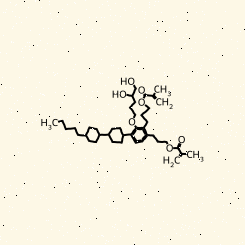 C=C(C)C(=O)OCCCc1ccc(C2CCC(C3CCC(CCCCC)CC3)CC2)c(OCCCC(O)CO)c1CCCOC(=O)C(=C)C